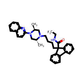 C[C@@H]1CN(c2ccc3ccccc3n2)[C@@H](C)CN1CCCCC1(C(=O)NCC(F)(F)F)c2ccccc2-c2ccccc21